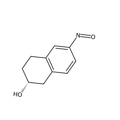 O=Nc1ccc2c(c1)CC[C@@H](O)C2